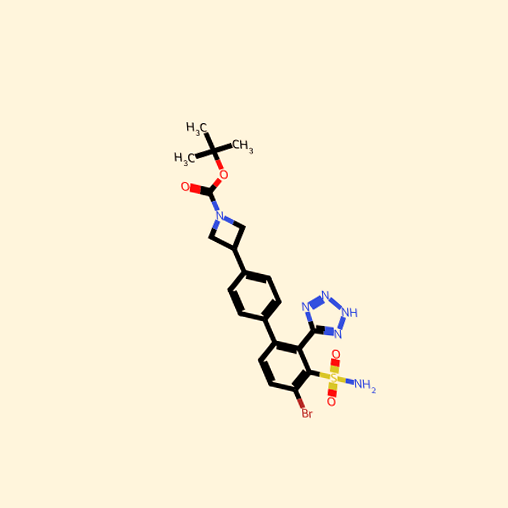 CC(C)(C)OC(=O)N1CC(c2ccc(-c3ccc(Br)c(S(N)(=O)=O)c3-c3nn[nH]n3)cc2)C1